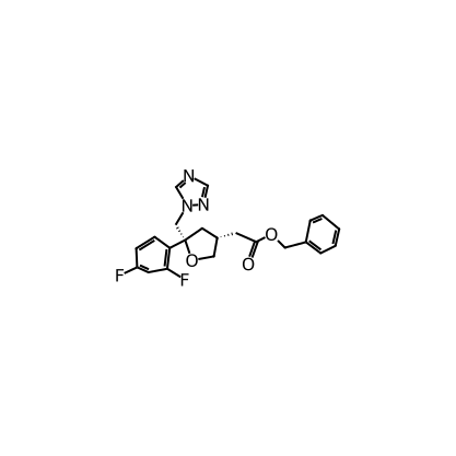 O=C(C[C@@H]1CO[C@@](Cn2cncn2)(c2ccc(F)cc2F)C1)OCc1ccccc1